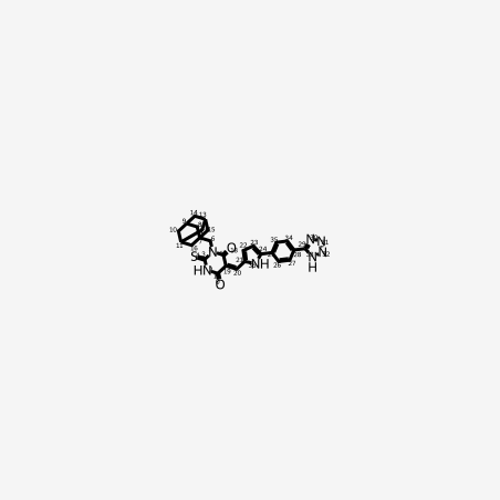 O=C1NC(=S)N(CC23CC4CC(CC(C4)C2)C3)C(=O)/C1=C\c1ccc(-c2ccc(-c3nnn[nH]3)cc2)[nH]1